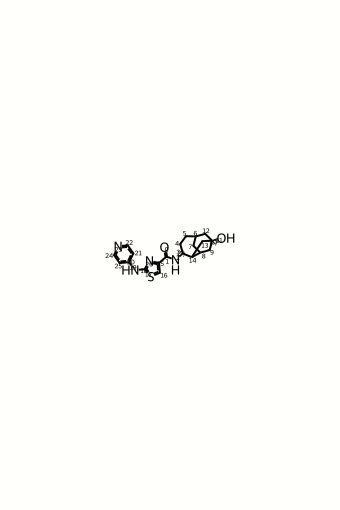 O=C(N[C@H]1CCC2CC3C[C@@](O)(C2)CC31)c1csc(Nc2ccncc2)n1